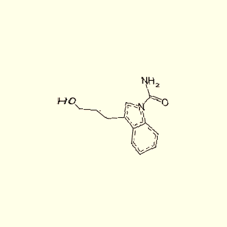 NC(=O)n1cc(C[CH]CO)c2ccccc21